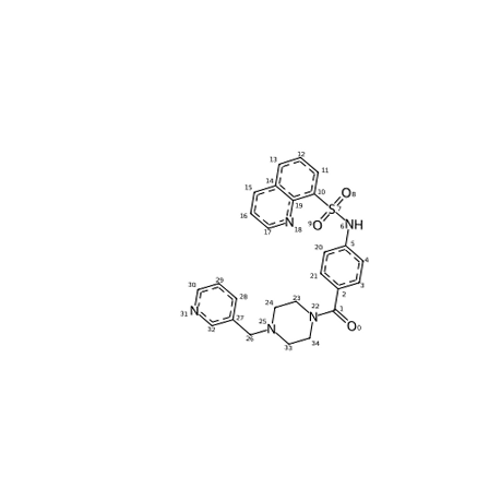 O=C(c1ccc(NS(=O)(=O)c2cccc3cccnc23)cc1)N1CCN(Cc2cccnc2)CC1